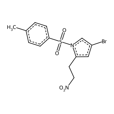 Cc1ccc(S(=O)(=O)n2cc(Br)cc2CC[N+](=O)[O-])cc1